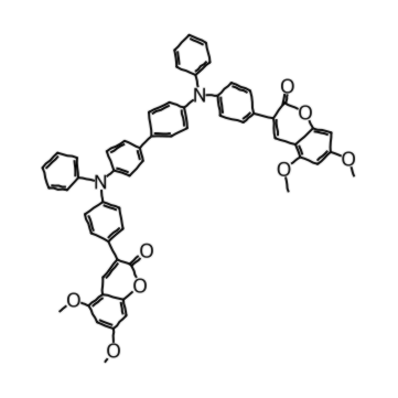 COc1cc(OC)c2cc(-c3ccc(N(c4ccccc4)c4ccc(-c5ccc(N(c6ccccc6)c6ccc(-c7cc8c(OC)cc(OC)cc8oc7=O)cc6)cc5)cc4)cc3)c(=O)oc2c1